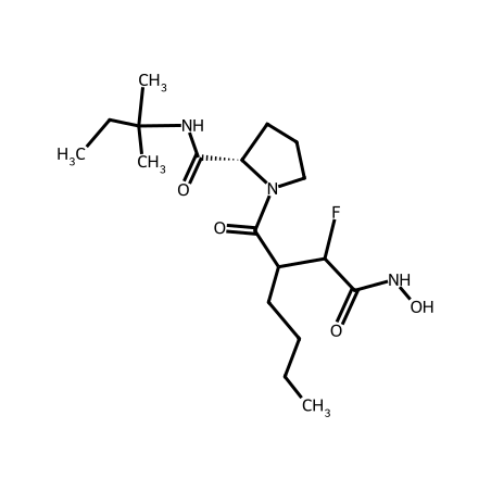 CCCCC(C(=O)N1CCC[C@H]1C(=O)NC(C)(C)CC)C(F)C(=O)NO